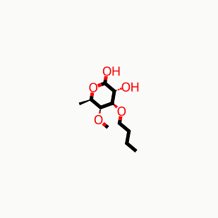 CCCCO[C@H]1[C@H](OC)[C@@H](C)OC(O)[C@@H]1O